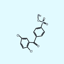 CCC(C)OS(=O)(=O)c1ccc(C(=O)c2cc(Cl)ccc2Cl)cc1